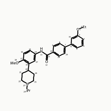 CCOc1cccc(-c2ccc(C(=O)Nc3ccc(OC)c(C4CCN(C(C)C)CC4)c3)cc2)c1